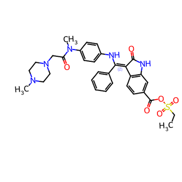 CCS(=O)(=O)OC(=O)c1ccc2c(c1)NC(=O)/C2=C(\Nc1ccc(N(C)C(=O)CN2CCN(C)CC2)cc1)c1ccccc1